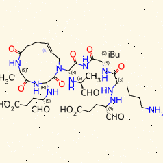 CC[C@H](C)[C@H](NC(=O)[C@H](CCCCN)NN[C@H](C=O)CCC(=O)O)C(=O)NC(=O)[C@H](N[C@@H](C)C=O)N1C/C=C/CCC(=O)N[C@@H](C)C(=O)N[C@@H](N[C@H](C=O)CCC(=O)O)C1=O